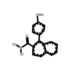 CCN(CC)C(=O)c1ccc2ccccc2c1-c1ccc(OC)cc1